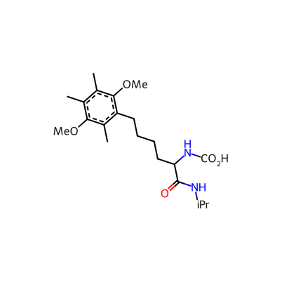 COc1c(C)c(C)c(OC)c(CCCCC(NC(=O)O)C(=O)NC(C)C)c1C